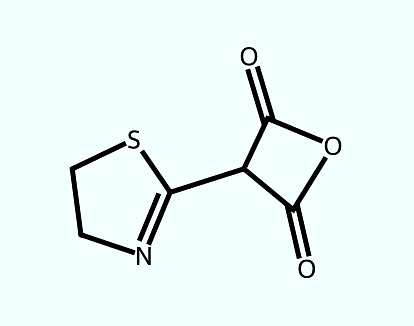 O=C1OC(=O)C1C1=NCCS1